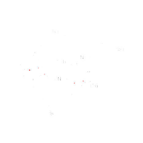 CC(C)(C)c1ccc(N2c3ccc(C(C)(C)C)cc3B3c4cc5c(cc4N(c4c(-c6ccccc6)cc(C(C)(C)C)cc4-c4ccccc4)c4cc(C(C)(C)C)cc2c43)C(C)(C)CCC5(C)C)cc1